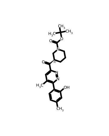 Cc1ccc(-c2nnc(C(=O)[C@@H]3CCCN(C(=O)OC(C)(C)C)C3)cc2C)c(O)c1